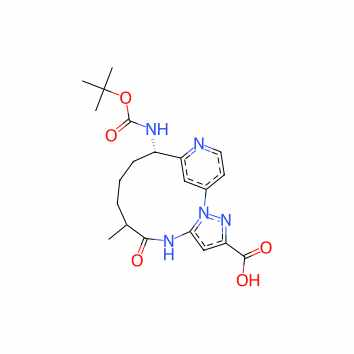 CC1CCC[C@H](NC(=O)OC(C)(C)C)c2cc(ccn2)-n2nc(C(=O)O)cc2NC1=O